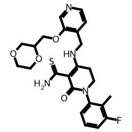 Cc1c(F)cccc1N1CCC(NCc2ccncc2OCC2COCCO2)=C(C(N)=S)C1=O